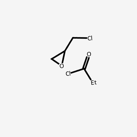 CCC(=O)Cl.ClCC1CO1